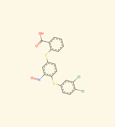 O=Nc1cc(Sc2ccccc2C(=O)O)ccc1Sc1ccc(Cl)c(Cl)c1